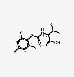 Cc1cc(C)c(CC(=O)NC(C(=O)O)C(C)C)c(C)c1